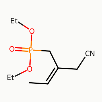 CC=C(CC#N)CP(=O)(OCC)OCC